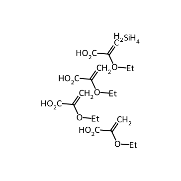 C=C(OCC)C(=O)O.C=C(OCC)C(=O)O.C=C(OCC)C(=O)O.C=C(OCC)C(=O)O.[SiH4]